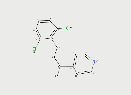 CC(CCc1c(Cl)cccc1Cl)c1ccncc1